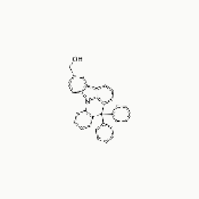 OCc1ccc2c(c1)c1cccc3c1n2-c1ccccc1C3(c1ccccc1)c1ccccc1